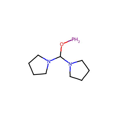 POC(N1CCCC1)N1CCCC1